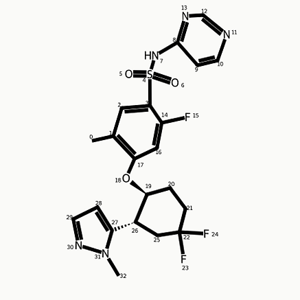 Cc1cc(S(=O)(=O)Nc2ccncn2)c(F)cc1O[C@H]1CCC(F)(F)C[C@@H]1c1ccnn1C